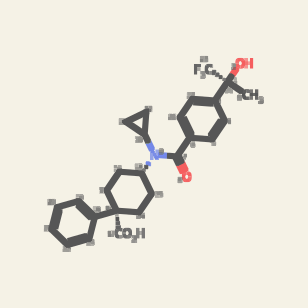 C[C@](O)(c1ccc(C(=O)N(C2CC2)[C@H]2CC[C@](C(=O)O)(c3ccccc3)CC2)cc1)C(F)(F)F